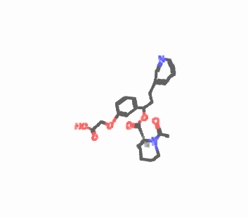 CC(=O)N1CCCC[C@H]1C(=O)OC(CCc1cccnc1)c1cccc(OCC(=O)O)c1